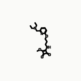 CCN(CC)Cc1cccc(OCCCNc2c(OC)c(=O)c2=O)n1